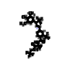 Cc1cc(C(/C=C/c2ccc(C(=O)NC3(C(=O)NCC(F)(F)F)CC3)c(C(F)(F)F)c2)C(F)(F)F)cc(C)c1Cl